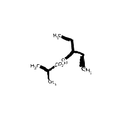 C=C(C)C(=O)O.C=CC(=O)C=C